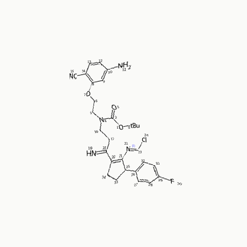 CC(C)(C)OC(=O)N(CCOc1cc(N)ccc1C#N)CCC(=N)C1=C(/N=C/Cl)C(c2ccc(F)cc2)CC1